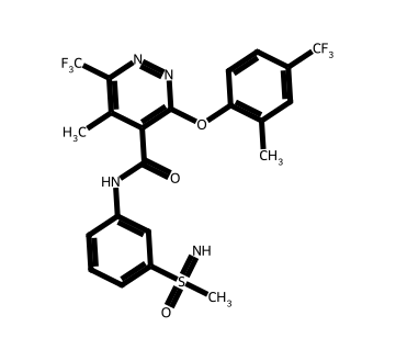 Cc1cc(C(F)(F)F)ccc1Oc1nnc(C(F)(F)F)c(C)c1C(=O)Nc1cccc(S(C)(=N)=O)c1